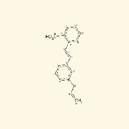 C=CCc1cccc(/C=C/c2ccccc2C(=O)O)c1